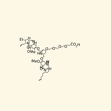 C=CCCC[C@@H]1CC[C@H]2CN[C@@H]3CC(OC[C@@H]4C[C@H](OCCOCCOCCOCCC(=O)O)C=C(COC5=C(OC)C[C@H]6C(=O)N7[C@H](C=N[C@H]6C5)CC(CC)[C@@H]7CC=C)N4)=C(OC)C[C@@H]3C(=O)N12